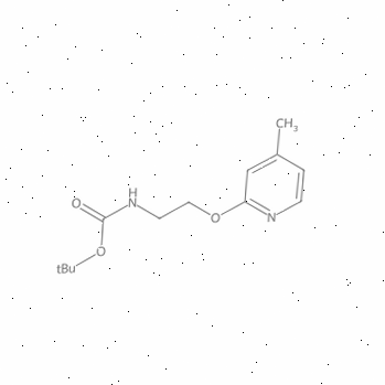 Cc1ccnc(OCCNC(=O)OC(C)(C)C)c1